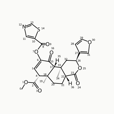 COC(=O)[C@@H]1C=C(OC(=O)c2cncs2)C(=O)[C@H]2[C@@]1(C)CC[C@H]1C(=O)O[C@H](c3ccoc3)C[C@]21C